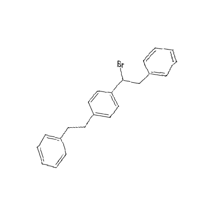 BrC(Cc1ccccc1)c1ccc(CCc2ccccc2)cc1